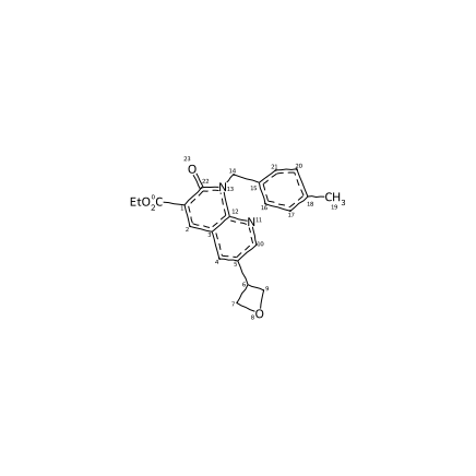 CCOC(=O)c1cc2cc(C3COC3)cnc2n(Cc2ccc(C)cc2)c1=O